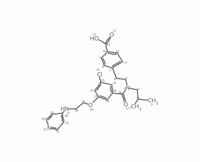 CC(C)CN(CCc1ccc(C(=O)O)cc1)C(=O)c1cc(Cl)cc(OCCNc2ccncc2)c1